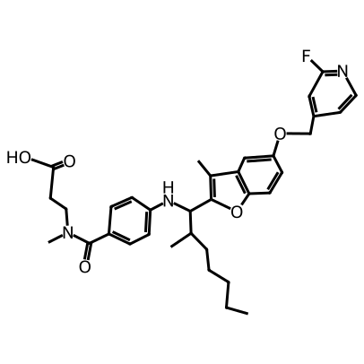 CCCCCC(C)C(Nc1ccc(C(=O)N(C)CCC(=O)O)cc1)c1oc2ccc(OCc3ccnc(F)c3)cc2c1C